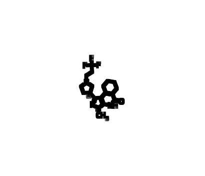 Cn1nc([C@H]2CCN(CCC(F)(F)F)C2)c2c3c(c(=O)[nH]c21)CCCC3